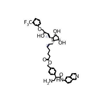 NCC(C(=O)Nc1ccc2cnccc2c1)c1ccc(COC(=O)CCC/C=C\C[C@@H]2[C@@H](/C=C/[C@@H](O)COc3cccc(C(F)(F)F)c3)[C@H](O)C[C@@H]2O)cc1